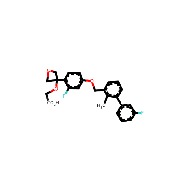 Cc1c(COc2ccc(C3(OCC(=O)O)COC3)c(F)c2)cccc1-c1cccc(F)c1